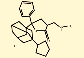 CNCC1CC(c2ccccc2)(C23CC4CC(CC(C5CCCC5)(C4)C2)C3)OC1=O.Cl